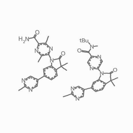 Cc1ncc(-c2ccc3c(c2)N(c2cnc(C(=O)N(C)C(C)(C)C)cn2)C(=O)C3(C)C)cn1.Cc1ncc(-c2ccc3c(c2)N(c2nc(C)c(C(N)=O)nc2C)C(=O)C3(C)C)cn1